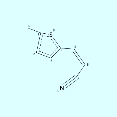 Cc1ccc(/C=C\C#N)s1